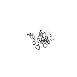 CCCS(=O)(=O)Nc1ccccc1-n1c(-c2ccccc2)c(C(=O)N2CCNCC2)n(Cc2csc(N)n2)c1=O